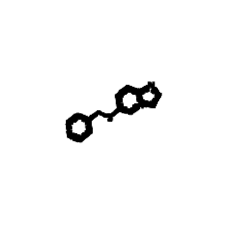 c1ccc(CSc2ccc3nccn3c2)cc1